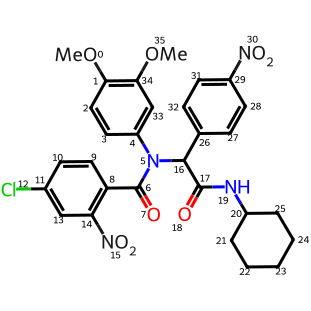 COc1ccc(N(C(=O)c2ccc(Cl)cc2[N+](=O)[O-])C(C(=O)NC2CCCCC2)c2ccc([N+](=O)[O-])cc2)cc1OC